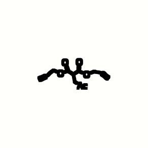 C#CCOC(=O)C(CC(C)=O)C(=O)OCC#C